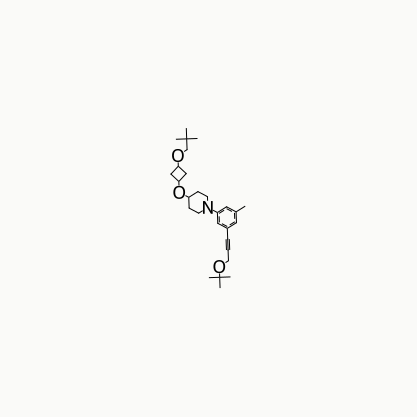 Cc1cc(C#CCOC(C)(C)C)cc(N2CCC(OC3CC(OCC(C)(C)C)C3)CC2)c1